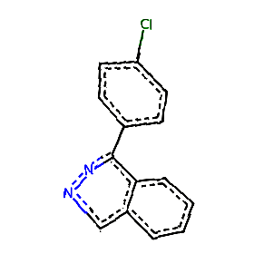 Clc1ccc(-c2nn[c]c3ccccc23)cc1